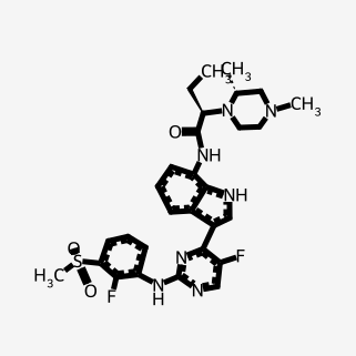 CC[C@H](C(=O)Nc1cccc2c(-c3nc(Nc4cccc(S(C)(=O)=O)c4F)ncc3F)c[nH]c12)N1CCN(C)C[C@H]1C